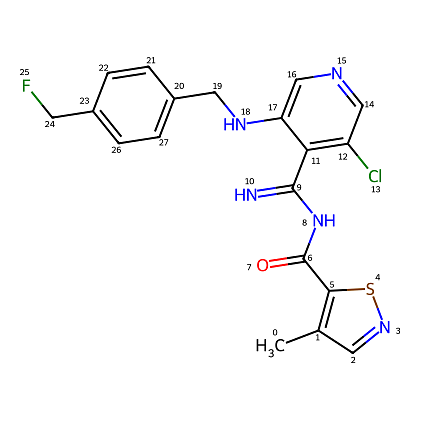 Cc1cnsc1C(=O)NC(=N)c1c(Cl)cncc1NCc1ccc(CF)cc1